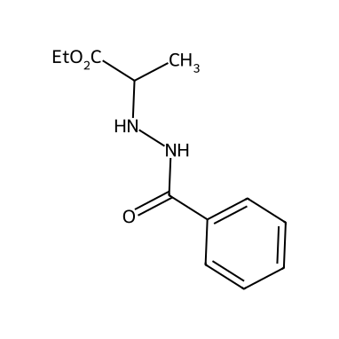 CCOC(=O)C(C)NNC(=O)c1ccccc1